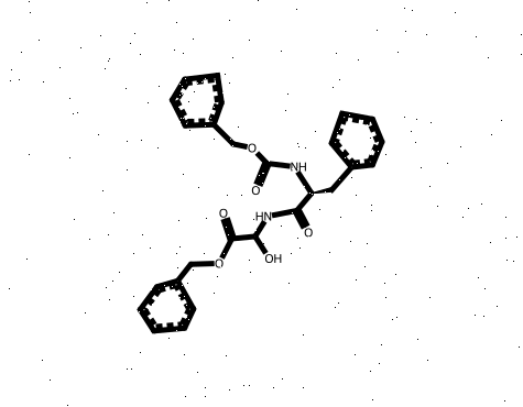 O=C(N[C@@H](Cc1ccccc1)C(=O)NC(O)C(=O)OCc1ccccc1)OCc1ccccc1